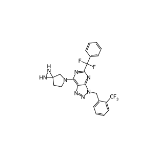 FC(F)(F)c1ccccc1Cn1nnc2c(N3CCC4(C3)NN4)nc(C(F)(F)c3ccccc3)nc21